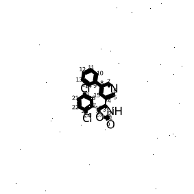 O=C1N[C@H](c2cncc(-c3ccccc3)c2)[C@@H](c2cc(Cl)ccc2Cl)O1